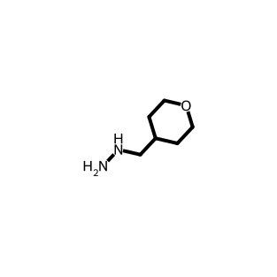 NNCC1CCOCC1